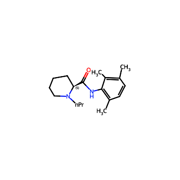 CCCN1CCCC[C@H]1C(=O)Nc1c(C)ccc(C)c1C